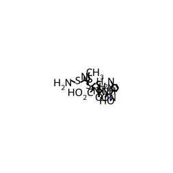 Cc1nc(CSCCN)c(SC2=C(C(=O)O)N3C(=O)[C@@H](NC(=O)/C(=N\O)c4cccc(N)n4)[C@@H]3SC2)s1